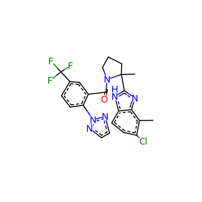 Cc1c(Cl)ccc2[nH]c(C3(C)CCCN3C(=O)c3cc(C(F)(F)F)ccc3-n3nccn3)nc12